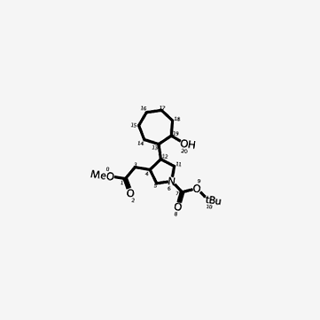 COC(=O)CC1CN(C(=O)OC(C)(C)C)CC1C1CCCCCC1O